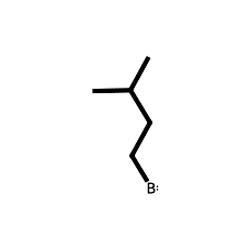 [B]CCC(C)C